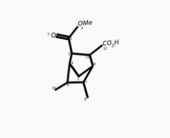 COC(=O)C1C2CC(C(C)C2C)C1C(=O)O